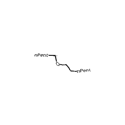 CCCCC[CH]OCCCCCCC